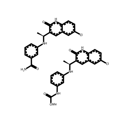 COC(=O)Nc1cccc(N[C@@H](C)c2cc3cc(Cl)ccc3[nH]c2=O)c1.C[C@H](Nc1cccc(C(N)=O)c1)c1cc2cc(Cl)ccc2[nH]c1=O